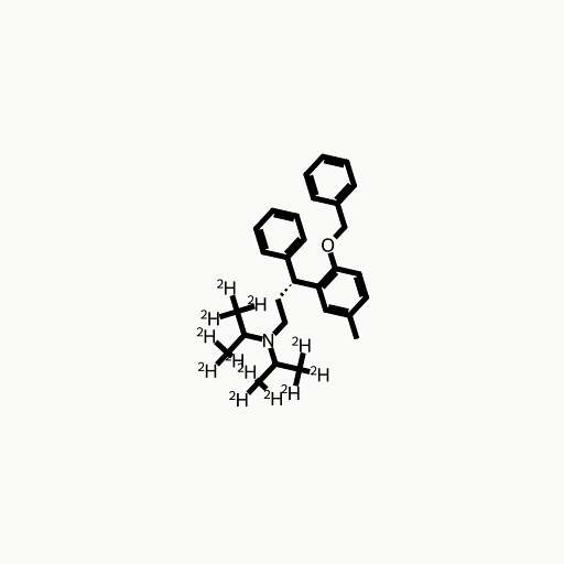 [2H]C([2H])([2H])C(N(CC[C@H](c1ccccc1)c1cc(C)ccc1OCc1ccccc1)C(C([2H])([2H])[2H])C([2H])([2H])[2H])C([2H])([2H])[2H]